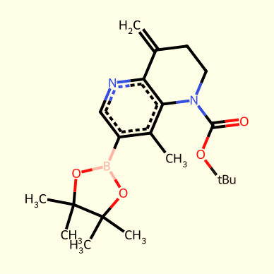 C=C1CCN(C(=O)OC(C)(C)C)c2c1ncc(B1OC(C)(C)C(C)(C)O1)c2C